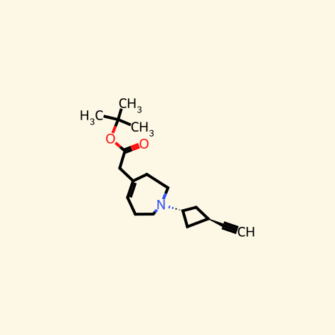 C#C[C@H]1C[C@H](N2CCC=C(CC(=O)OC(C)(C)C)CC2)C1